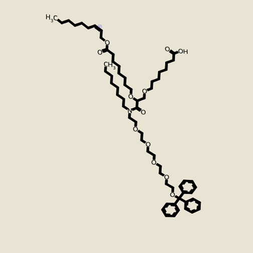 CCCCCC/C=C\COC(=O)CCCCCCCOC(COCCCCCCCC(=O)O)C(=O)N(CCCCCCCC)CCOCCOCCOCCOCCOC(c1ccccc1)(c1ccccc1)c1ccccc1